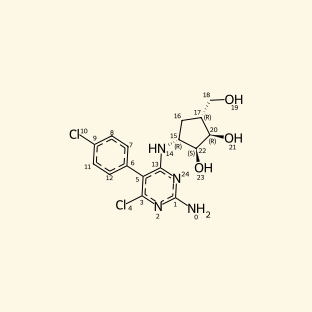 Nc1nc(Cl)c(-c2ccc(Cl)cc2)c(N[C@@H]2C[C@H](CO)[C@@H](O)[C@H]2O)n1